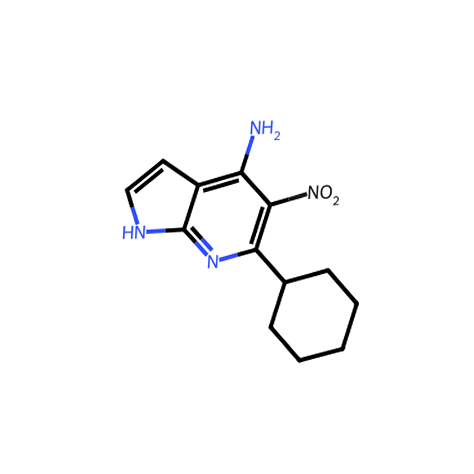 Nc1c([N+](=O)[O-])c(C2CCCCC2)nc2[nH]ccc12